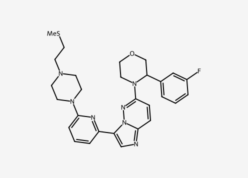 CSCCN1CCN(c2cccc(-c3cnc4ccc(N5CCOCC5c5cccc(F)c5)nn34)n2)CC1